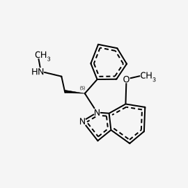 CNCC[C@@H](c1ccccc1)n1ncc2cccc(OC)c21